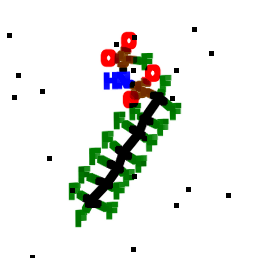 O=S(=O)(F)NS(=O)(=O)C(F)(F)C(F)(F)C(F)(F)C(F)(F)C(F)(F)C(F)(F)C(F)(F)F